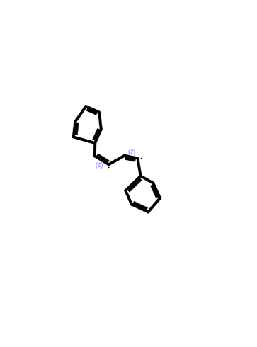 [C](=C/[C]=C\c1ccccc1)/c1ccccc1